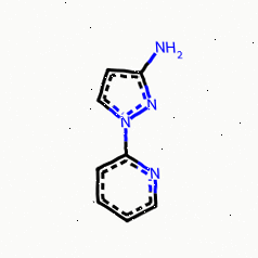 Nc1ccn(-c2c[c]ccn2)n1